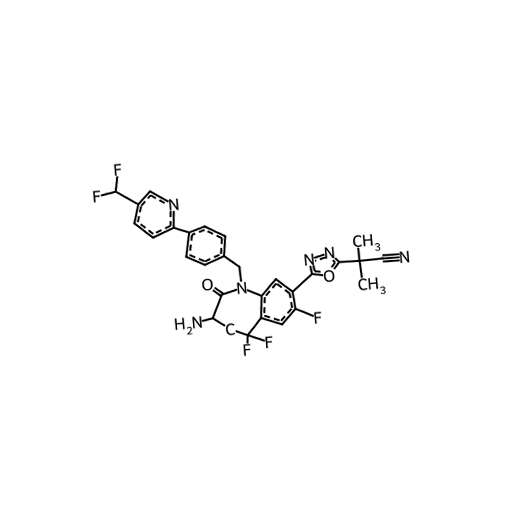 CC(C)(C#N)c1nnc(-c2cc3c(cc2F)C(F)(F)CC(N)C(=O)N3Cc2ccc(-c3ccc(C(F)F)cn3)cc2)o1